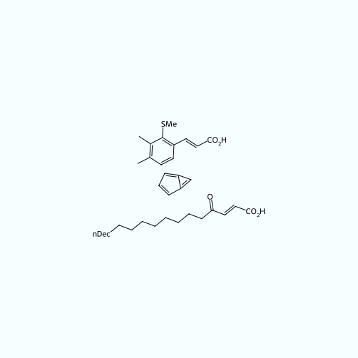 CCCCCCCCCCCCCCCCCCC(=O)C=CC(=O)O.CSc1c(C=CC(=O)O)ccc(C)c1C.c1cc2cc-2c1